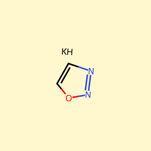 [KH].c1conn1